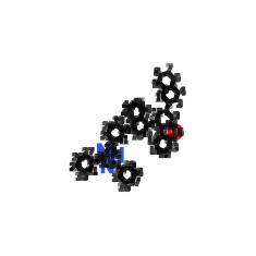 C1=C(c2ccc3ccccc3c2)C=C(c2ccc(-c3cccc(-c4nc(-c5ccccc5)nc(-c5ccccc5)n4)c3)c3ccccc23)C2c3ccccc3OC12